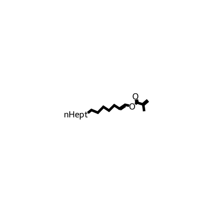 C=C(C)C(=O)OC=CCCCCCCCCCCCC